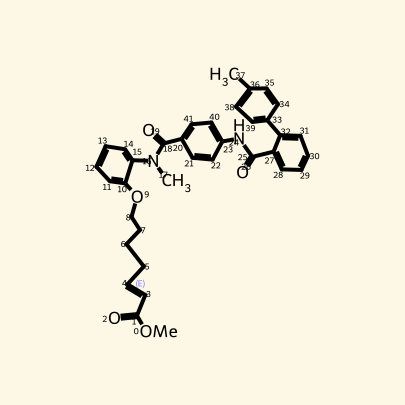 COC(=O)/C=C/CCCCOc1ccccc1N(C)C(=O)c1ccc(NC(=O)c2ccccc2-c2ccc(C)cc2)cc1